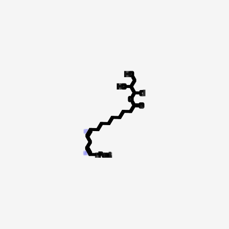 CCCCC/C=C\C/C=C\CCCCCCCC(=O)OC(Cl)C(O)CO